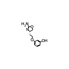 NC1=N[C@@H](CCOc2cccc(O)c2)CO1